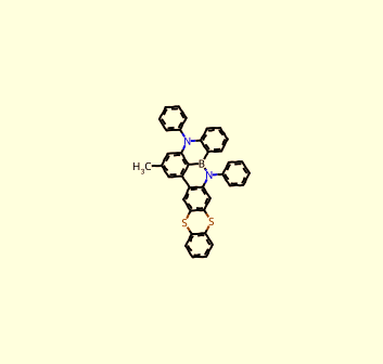 Cc1cc2c3c(c1)N(c1ccccc1)c1ccccc1B3N(c1ccccc1)c1cc3c(cc1-2)Sc1ccccc1S3